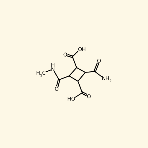 CNC(=O)C1C(C(=O)O)C(C(N)=O)C1C(=O)O